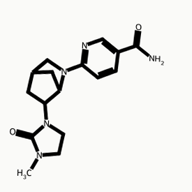 CN1CCN(C2CC3CC2N(c2ccc(C(N)=O)cn2)C3)C1=O